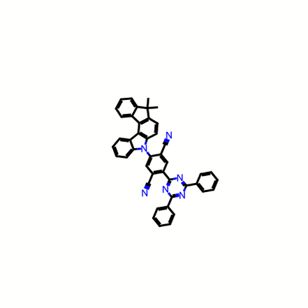 CC1(C)c2ccccc2-c2c1ccc1c2c2ccccc2n1-c1cc(C#N)c(-c2nc(-c3ccccc3)nc(-c3ccccc3)n2)cc1C#N